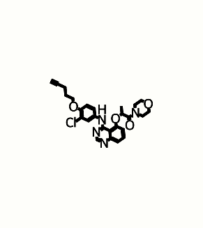 C#CCCCOc1ccc(Nc2ncnc3cccc(OC(C)C(=O)N4CCOCC4)c23)cc1Cl